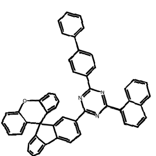 c1ccc(-c2ccc(-c3nc(-c4ccc5c(c4)C4(c6ccccc6Oc6ccccc64)c4ccccc4-5)nc(-c4cccc5ccccc45)n3)cc2)cc1